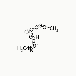 CCCCOCCOc1ccc(-c2ccc(N3CCCCC3)c(C=CC(=O)Nc3ccc([S@@+]([O-])Cc4cncn4CCC)cc3)c2)cc1